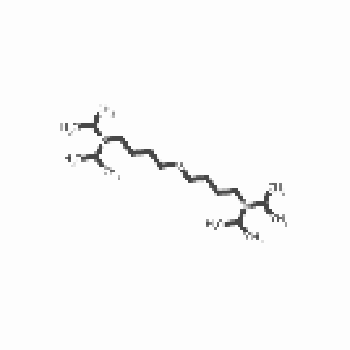 CC(C)N(CCCCOCCCCN(C(C)C)C(C)C)C(C)C